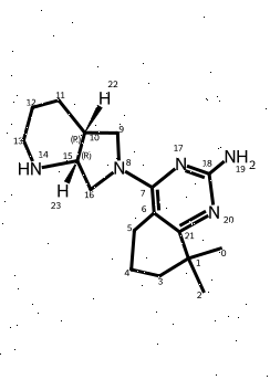 CC1(C)CCCc2c(N3C[C@H]4CCCN[C@H]4C3)nc(N)nc21